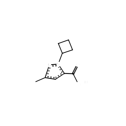 Cc1cc(C(=O)O)n(C2CCC2)n1.Cl